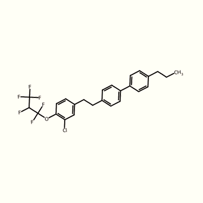 CCCc1ccc(-c2ccc(CCc3ccc(OC(F)(F)C(F)C(F)(F)F)c(Cl)c3)cc2)cc1